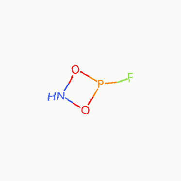 FP1ONO1